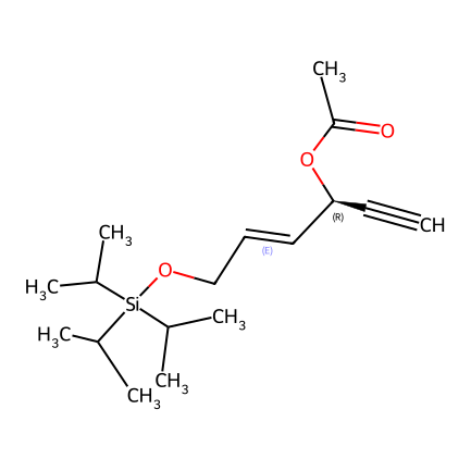 C#C[C@@H](/C=C/CO[Si](C(C)C)(C(C)C)C(C)C)OC(C)=O